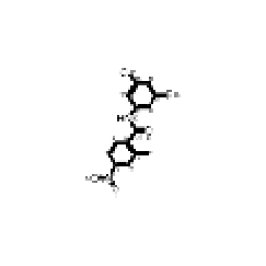 Cc1cc([N+](=O)[O-])ccc1C(=O)Nc1cc(F)cc(Cl)c1